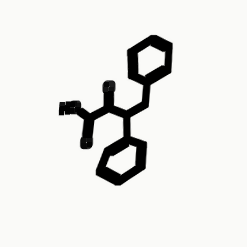 O=C(O)C(=O)C(Cc1ccccc1)c1ccccc1